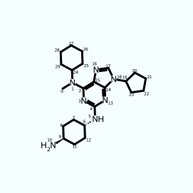 CN(c1nc(N[C@H]2CC[C@H](N)CC2)nc2c1ncn2C1CCCC1)C1CCCCC1